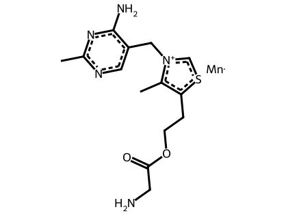 Cc1ncc(C[n+]2csc(CCOC(=O)CN)c2C)c(N)n1.[Mn]